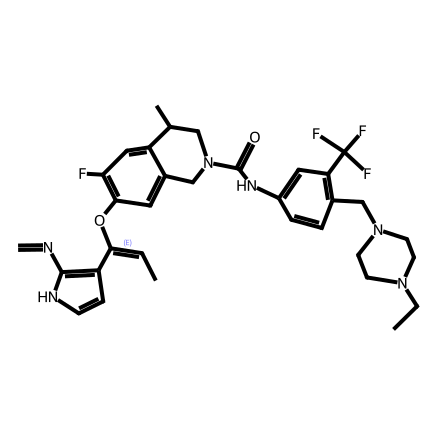 C=Nc1[nH]ccc1/C(=C\C)Oc1cc2c(cc1F)C(C)CN(C(=O)Nc1ccc(CN3CCN(CC)CC3)c(C(F)(F)F)c1)C2